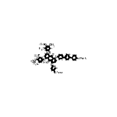 CCCCCc1ccc(Sc2ccc(Sc3ccc(-c4ccc(C5CCC(CCCCC)CC5)cc4)cc3)c3c2C(=O)c2c(Nc4cc(C)c(OCCCC)c(C)c4)ccc(Nc4cc(C)c(OCCCC)c(C)c4)c2C3=O)nc1